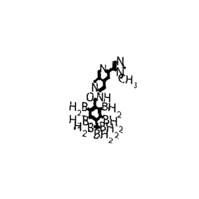 Bc1c(B)c(C(B)(B)B)c(B)c(B)c1C(=O)Nc1cc2cc(-c3cncn3C)ncc2cn1